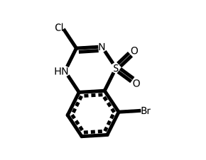 O=S1(=O)N=C(Cl)Nc2cccc(Br)c21